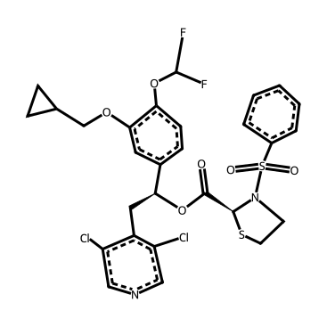 O=C(O[C@@H](Cc1c(Cl)cncc1Cl)c1ccc(OC(F)F)c(OCC2CC2)c1)[C@@H]1SCCN1S(=O)(=O)c1ccccc1